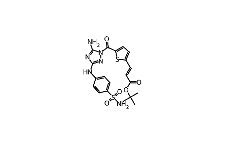 CC(C)(C)OC(=O)C=Cc1ccc(C(=O)n2nc(Nc3ccc(S(N)(=O)=O)cc3)nc2N)s1